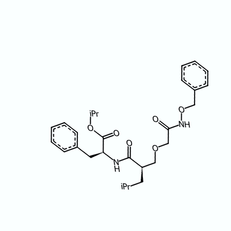 CC(C)C[C@H](COCC(=O)NOCc1ccccc1)C(=O)N[C@@H](Cc1ccccc1)C(=O)OC(C)C